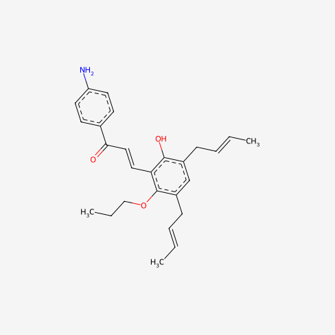 CC=CCc1cc(CC=CC)c(OCCC)c(C=CC(=O)c2ccc(N)cc2)c1O